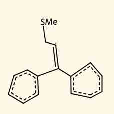 CSC[C]=C(c1ccccc1)c1ccccc1